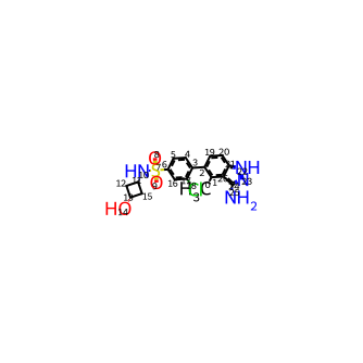 Cc1c(-c2ccc(S(=O)(=O)N[C@H]3C[C@@H](O)C3)cc2Cl)ccc2[nH]nc(N)c12